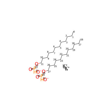 CCCCCCCCCCCCO[PH](=O)[O-].CCCCCCCCCCCCO[PH](=O)[O-].[K+].[K+]